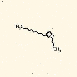 CCCCCCCCCCc1ccc[n+](CCCCC)c1